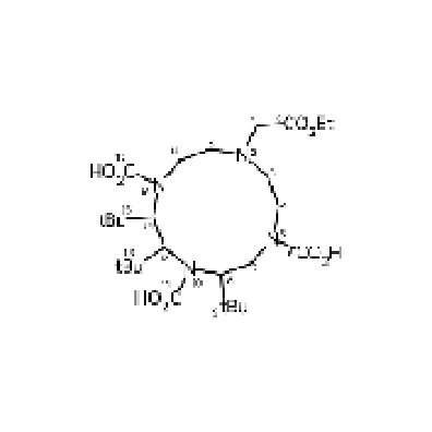 CCOC(=O)CN1CCN(C(=O)O)CC(C(C)(C)C)N(C(=O)O)C(C(C)(C)C)C(C(C)(C)C)N(C(=O)O)CC1